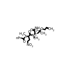 C=CCOC(C)(C)C[C@@H](C(N)=O)N(C)C(=O)C(CC[N+](=O)[O-])N(C)C(=O)CCC